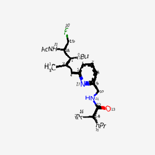 CCCCC(C(C)Cc1cccc(CNC(=O)C(CCC)C(C)C)n1)C(CF)NC(C)=O